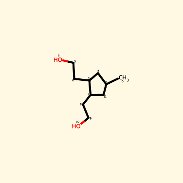 CC1CC(CCO)C(CCO)C1